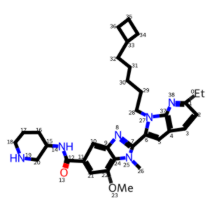 CCc1ccc2cc(-c3nc4cc(C(=O)NC5CCCNC5)cc(OC)c4n3C)n(CCCCCC3CCC3)c2n1